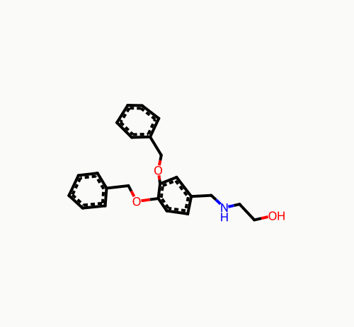 OCCNCc1ccc(OCc2ccccc2)c(OCc2ccccc2)c1